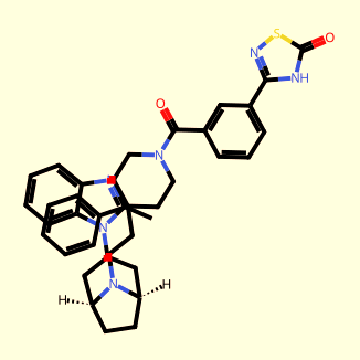 Cc1nc2ccccc2n1C1C[C@H]2CC[C@@H](C1)N2CCC1(c2ccccc2)CCN(C(=O)c2cccc(-c3nsc(=O)[nH]3)c2)CC1